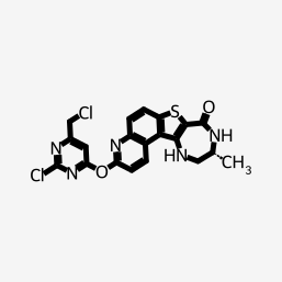 C[C@@H]1CNc2c(sc3ccc4nc(Oc5cc(CCl)nc(Cl)n5)ccc4c23)C(=O)N1